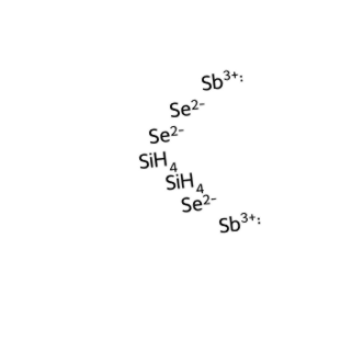 [Sb+3].[Sb+3].[Se-2].[Se-2].[Se-2].[SiH4].[SiH4]